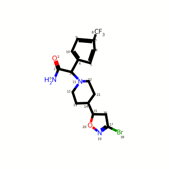 NC(=O)C(c1ccc(C(F)(F)F)cc1)N1CCC(C2CC(Br)=NO2)CC1